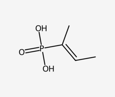 C/C=C(\C)P(=O)(O)O